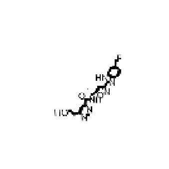 C[C@@H](NC(=O)c1cc(CCO)ncn1)c1cc(-c2nc3ccc(CF)cc3[nH]2)no1